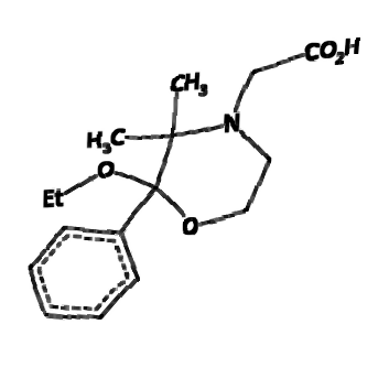 CCOC1(c2ccccc2)OCCN(CC(=O)O)C1(C)C